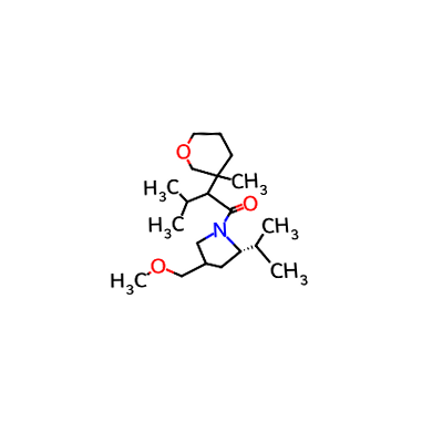 COCC1C[C@@H](C(C)C)N(C(=O)C(C(C)C)C2(C)CCCOC2)C1